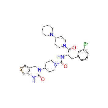 O=C(NC(Cc1cccc(Br)c1)C(=O)N1CCC(N2CCCCC2)CC1)N1CCC(N2Cc3cscc3NC2=O)CC1